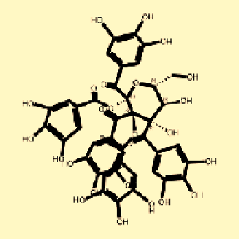 O=C(O[C@]1(C(=O)c2cc(O)c(O)c(O)c2)O[C@H](CO)[C@@H](O)[C@@](O)(C(=O)c2cc(O)c(O)c(O)c2)[C@]1(OC(=O)c1cc(O)c(O)c(O)c1)C(=O)c1cc(O)c(O)c(O)c1)c1cc(O)c(O)c(O)c1